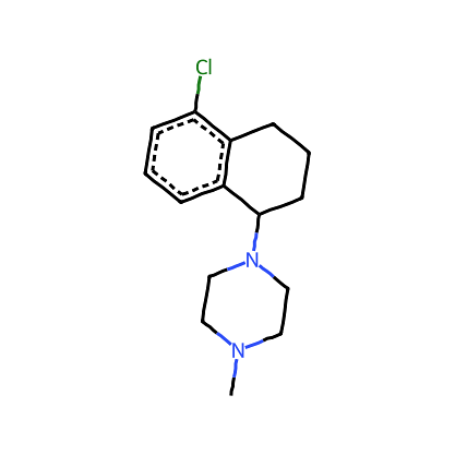 CN1CCN(C2CCCc3c(Cl)cccc32)CC1